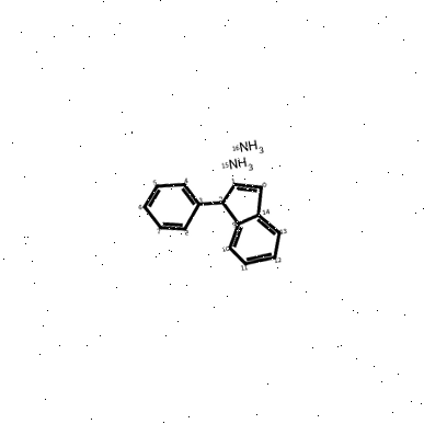 C1=CC(c2ccccc2)c2ccccc21.N.N